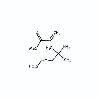 C=CC(=O)OC.CC(C)(N)COS(=O)(=O)O